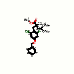 CCC(C)OC(=O)C(Cc1c(Cl)cc(OCc2ccccc2)cc1Cl)(CC(OC)OC)C(=O)O